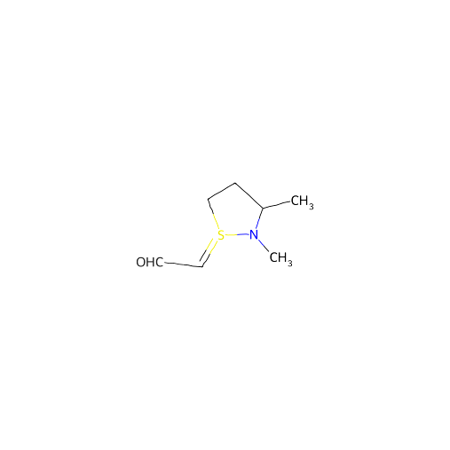 CC1CCS(=CC=O)N1C